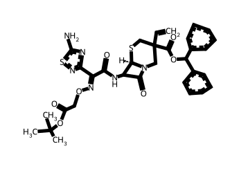 C=CC1(C(=O)OC(c2ccccc2)c2ccccc2)CS[C@@H]2C(NC(=O)C(=NOCC(=O)OC(C)(C)C)c3nsc(N)n3)C(=O)N2C1